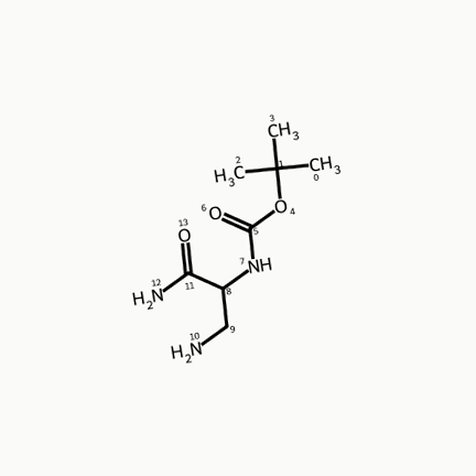 CC(C)(C)OC(=O)NC(CN)C(N)=O